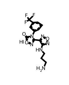 I.NCCCNc1nonc1-c1noc(=O)n1-c1cccc(C(F)(F)F)c1